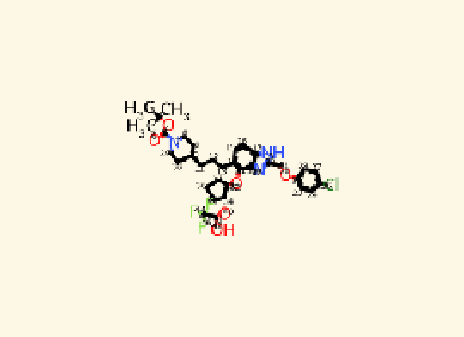 CC(C)(C)OC(=O)N1CCC(CCCc2ccc3[nH]c(COc4ccc(Cl)cc4)nc3c2OC2CCCC2)CC1.O=C(O)C(F)(F)F